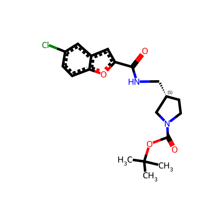 CC(C)(C)OC(=O)N1CC[C@@H](CNC(=O)c2cc3cc(Cl)ccc3o2)C1